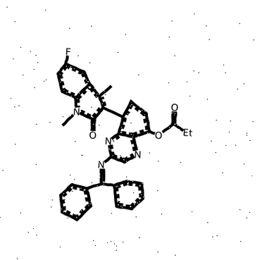 CCC(=O)Oc1ccc(-c2c(C)c3cc(F)ccc3n(C)c2=O)c2nc(N=C(c3ccccc3)c3ccccc3)cnc12